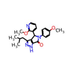 COc1ccc(N2C(=O)c3[nH]nc(CC(C)C)c3C2c2cccnc2OC)cc1